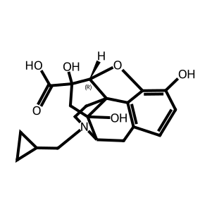 O=C(O)C1(O)CC2(O)C3Cc4ccc(O)c5c4C2(CCN3CC2CC2)[C@H]1O5